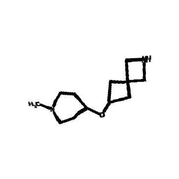 CN1CCC(OC2CC3(CNC3)C2)CC1